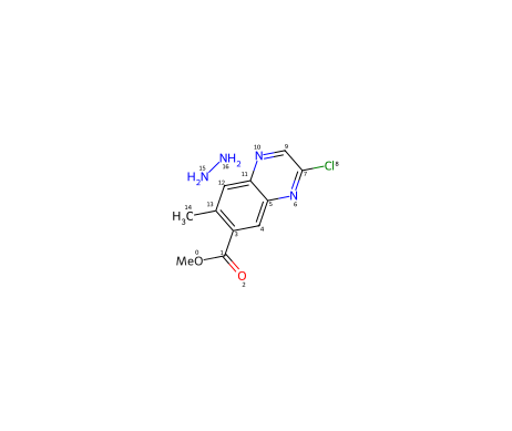 COC(=O)c1cc2nc(Cl)cnc2cc1C.NN